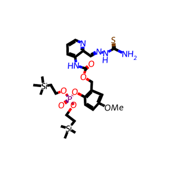 COc1ccc(OP(=O)(OCC[Si](C)(C)C)OCC[Si](C)(C)C)c(COC(=O)Nc2cccnc2C=NNC(N)=S)c1